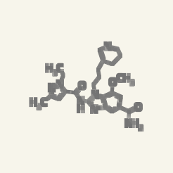 CCn1nc(C)cc1C(=O)Nc1nc2cc(C(N)=O)cc(OC)c2n1CCCC1=CN=CCC1